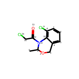 CC1OCc2cccc(Cl)c2N1C(=O)CCl